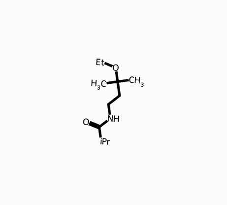 CCOC(C)(C)CCNC(=O)C(C)C